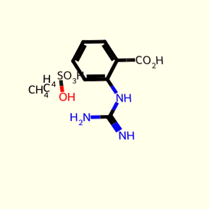 C.C.N=C(N)Nc1ccccc1C(=O)O.O=S(=O)(O)O